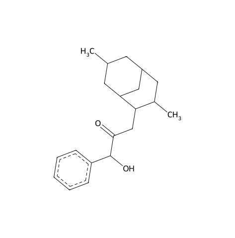 CC1CC2CC(C)C(CC(=O)C(O)c3ccccc3)C(C1)C2